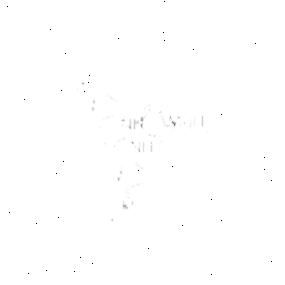 CCOc1ccc(NC(=S)Nc2ccc(OCC)cc2)cc1.Cc1ccccc1.[MgH2]